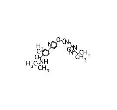 Cc1cc(-c2ccc(OC3CN(Cc4nc(C(C)C)no4)C3)cn2)ccc1C(=O)NC(C)C